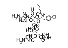 C=CCCC(=O)N(C)[C@H](Cc1ccc(Cl)cc1)C(=O)OC1C(COP(=O)(O)O[C@H]2[C@@H](O)[C@H](n3ccc(N)nc3=O)O[C@@H]2COP(=O)(O)O)OC(n2cnc3c(N)ncnc32)C1O